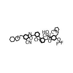 Cc1c(-c2nc3cc(CN4CCC[C@H]4C(=O)O)c(OC(F)F)cc3o2)cccc1-c1cccc(-c2nc3cc(CN4CCC5(CCCCC5)C4)cc(C#N)c3o2)c1C